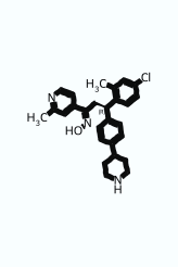 Cc1cc(C(C[C@H](c2ccc(C3CCNCC3)cc2)c2ccc(Cl)cc2C)=NO)ccn1